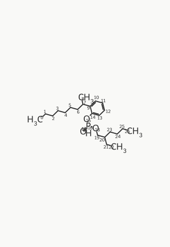 CCCCCCCC(C)c1ccccc1O[PH](=O)OCC(CC)CCCC